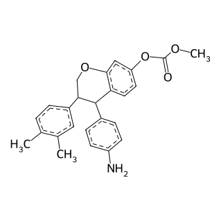 COC(=O)Oc1ccc2c(c1)OCC(c1ccc(C)c(C)c1)C2c1ccc(N)cc1